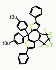 CC(C)(C)c1ccc(C2(c3ccc(C(C)(C)C)cc3)c3sc(-c4ccccc4)cc3C3=C(c4cc(-c5ccccc5)sc42)C(F)(F)C(F)(F)C3(F)F)cc1